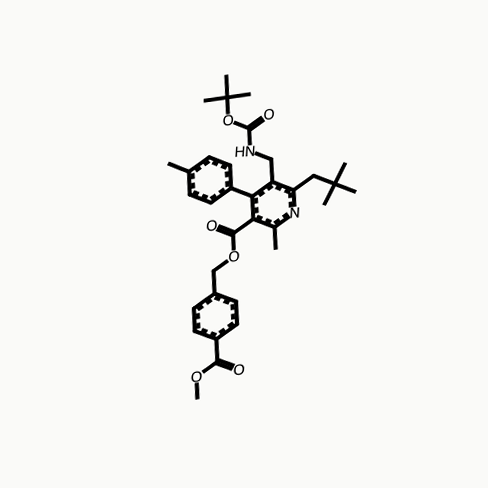 COC(=O)c1ccc(COC(=O)c2c(C)nc(CC(C)(C)C)c(CNC(=O)OC(C)(C)C)c2-c2ccc(C)cc2)cc1